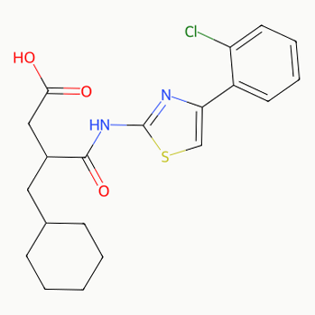 O=C(O)CC(CC1CCCCC1)C(=O)Nc1nc(-c2ccccc2Cl)cs1